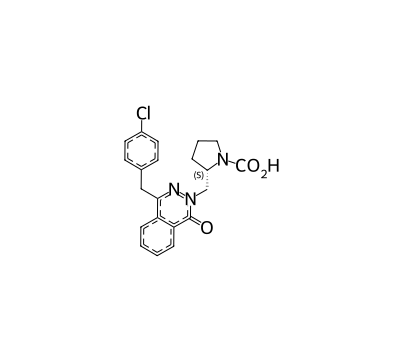 O=C(O)N1CCC[C@H]1Cn1nc(Cc2ccc(Cl)cc2)c2ccccc2c1=O